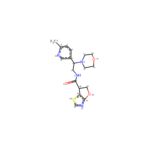 O=C(NCC(c1ccc(C(F)(F)F)nc1)N1CCOCC1)C1COc2ncsc21